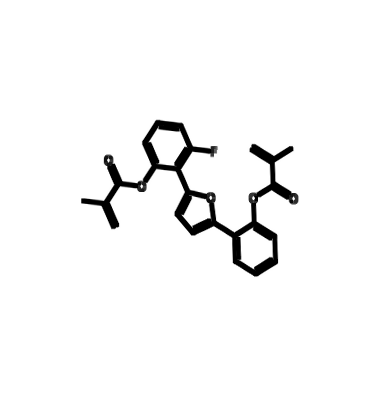 C=C(C)C(=O)Oc1ccccc1-c1ccc(-c2c(F)cccc2OC(=O)C(=C)C)o1